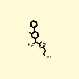 CSCCc1noc(C(C)c2ccc(-c3ccccc3)c(F)c2)n1